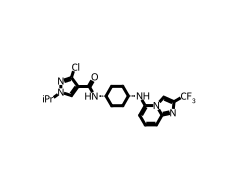 CC(C)n1cc(C(=O)N[C@H]2CC[C@@H](Nc3cccc4nc(C(F)(F)F)cn34)CC2)c(Cl)n1